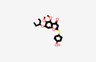 CCC(CC)Oc1cc2oc(Sc3ccc(O)cc3)cc(=O)c2c(OC)c1OC